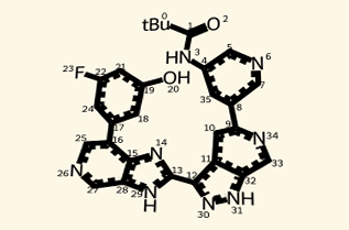 CC(C)(C)C(=O)Nc1cncc(-c2cc3c(-c4nc5c(-c6cc(O)cc(F)c6)cncc5[nH]4)n[nH]c3cn2)c1